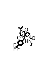 CCNC(=O)N1CCC2(C1)C(=O)N(C(C)C)CC(=O)N2Cc1ccc(C(F)(F)F)cc1